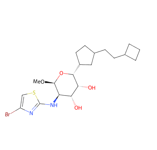 CO[C@H]1O[C@H](C2CCC(CCC3CCC3)C2)[C@H](O)[C@H](O)[C@H]1Nc1nc(Br)cs1